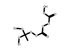 CCOC(C)(OCC)OOC(=O)OOC(=O)OO